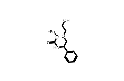 CC(C)(C)OC(=O)NC(COCCO)c1ccccc1